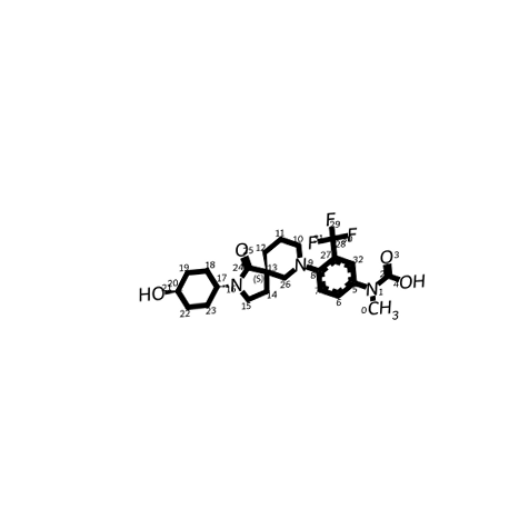 CN(C(=O)O)c1ccc(N2CCC[C@]3(CCN([C@H]4CC[C@H](O)CC4)C3=O)C2)c(C(F)(F)F)c1